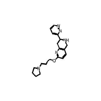 c1cnnc(C2Cc3nc(OCCCN4CCCC4)ccc3CN2)c1